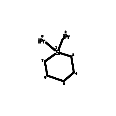 CC(C)[Si]1(C(C)C)CCCCC1